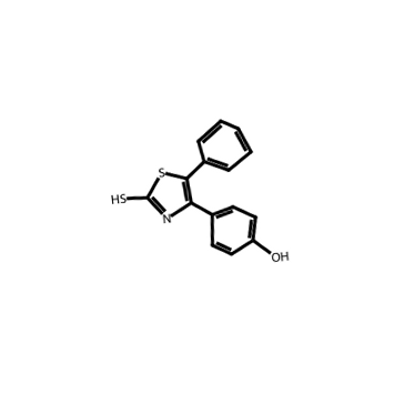 Oc1ccc(-c2nc(S)sc2-c2ccccc2)cc1